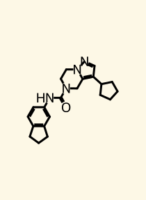 O=C(Nc1ccc2c(c1)CCC2)N1CCn2ncc(C3CCCC3)c2C1